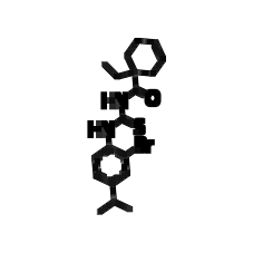 CCC1(C(=O)NC(=S)Nc2ccc(C(C)C)cc2Br)CC=CCC1